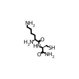 NCCCC[C@H](N)C(=O)N[C@@H](CS)C(N)=O